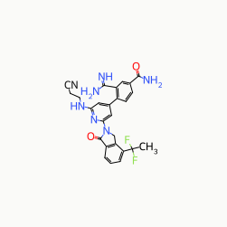 CC(F)(F)c1cccc2c1CN(c1cc(-c3ccc(C(N)=O)cc3C(=N)N)cc(NCCC#N)n1)C2=O